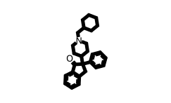 O=C1c2ccccc2CC1(c1ccccc1)C1CCN(CC2CCCCC2)CC1